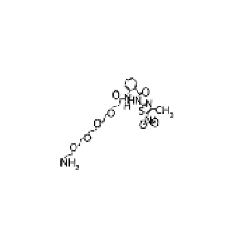 Cc1nc(NC(=O)c2ccccc2NC(=O)CCOCCOCCOCCOCCN)sc1[N+](=O)[O-]